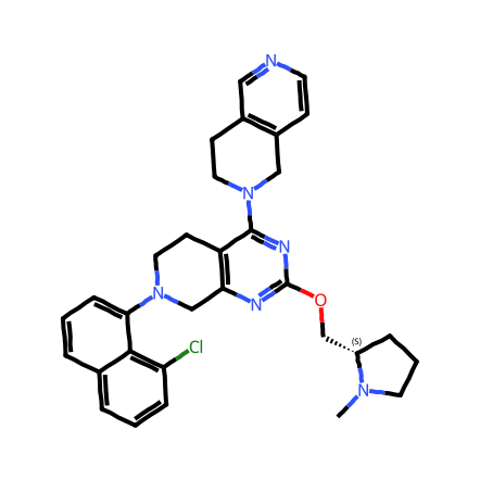 CN1CCC[C@H]1COc1nc2c(c(N3CCc4cnccc4C3)n1)CCN(c1cccc3cccc(Cl)c13)C2